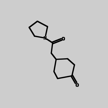 O=C1CCC(CC(=O)N2CCCC2)CC1